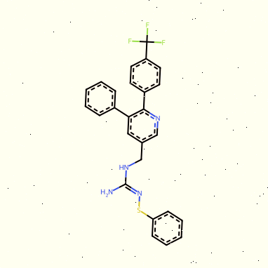 N/C(=N\Sc1ccccc1)NCc1cnc(-c2ccc(C(F)(F)F)cc2)c(-c2ccccc2)c1